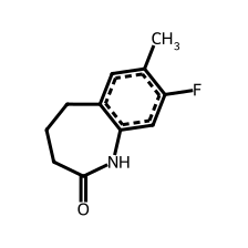 Cc1cc2c(cc1F)NC(=O)CCC2